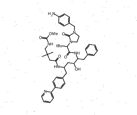 COC(=O)NCC(C)(C)CC(=O)NC(Cc1ccc(-c2ccccn2)cc1)CC(O)C(Cc1ccccc1)NC(=O)C(N1CCN(Cc2ccc(N)cc2)C1=O)C(C)(C)C